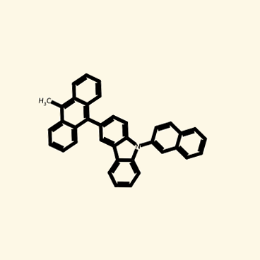 Cc1c2ccccc2c(-c2ccc3c(c2)c2ccccc2n3-c2ccc3ccccc3c2)c2ccccc12